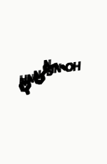 Cc1ccnc(Nc2cccc(-c3cnc(CNCCO)s3)n2)c1